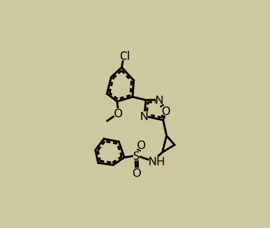 COc1ccc(Cl)cc1-c1noc(C2CC2NS(=O)(=O)c2ccccc2)n1